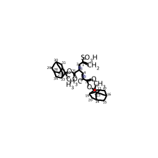 C=C(/C=C(\C=C(/C)C(=O)OC1(C)C2CC3CC(C2)CC1C3)C(=O)OC1(C)C2CC3CC(C2)CC1C3)S(=O)(=O)O